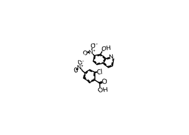 O=C(O)c1ccc([N+](=O)[O-])cc1Cl.O=[N+]([O-])c1ccc2cccnc2c1O